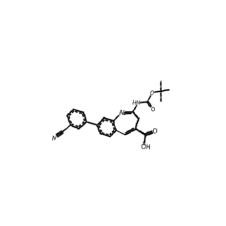 CC(C)(C)OC(=O)NC1=Nc2cc(-c3cccc(C#N)c3)ccc2C=C(C(=O)O)C1